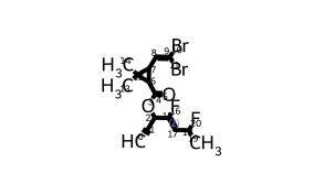 C#CC(OC(=O)C1C(C=C(Br)Br)C1(C)C)/C(F)=C/C(C)F